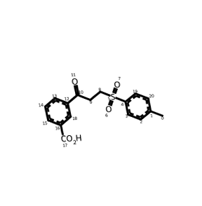 Cc1ccc(S(=O)(=O)CCC(=O)c2cccc(C(=O)O)c2)cc1